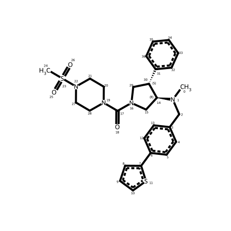 CN(Cc1ccc(-c2cccs2)cc1)[C@H]1CN(C(=O)N2CCN(S(C)(=O)=O)CC2)C[C@@H]1c1ccccc1